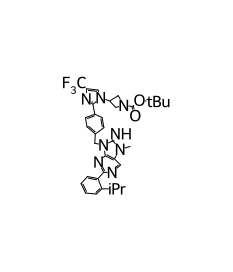 CC(C)c1ccccc1-c1ncc2c(n1)n(Cc1ccc(-c3nc(C(F)(F)F)cn3C3CN(C(=O)OC(C)(C)C)C3)cc1)c(=N)n2C